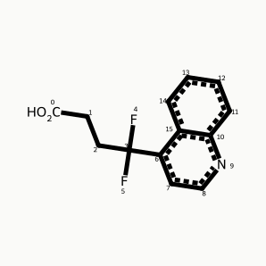 O=C(O)CCC(F)(F)c1ccnc2ccccc12